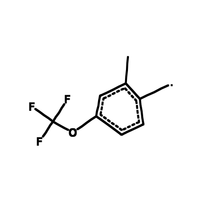 [CH2]c1ccc(OC(F)(F)F)cc1C